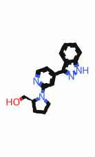 OC[C@@H]1CCCN1c1cc(-c2n[nH]c3ccccc23)ccn1